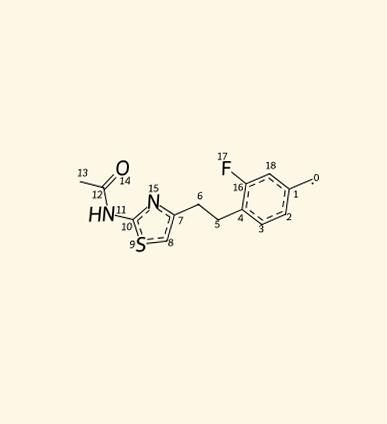 [CH2]c1ccc(CCc2csc(NC(C)=O)n2)c(F)c1